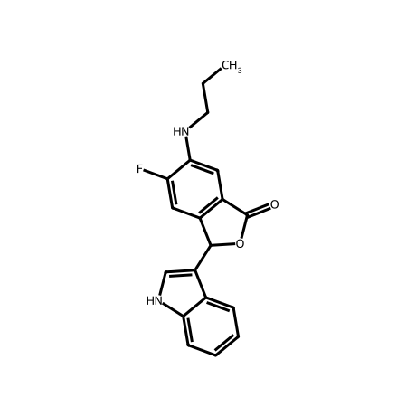 CCCNc1cc2c(cc1F)C(c1c[nH]c3ccccc13)OC2=O